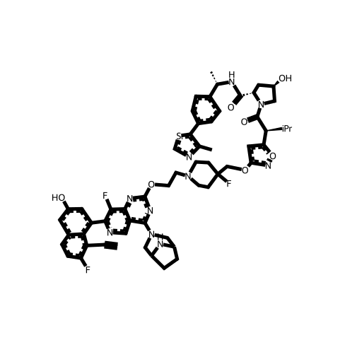 C#Cc1c(F)ccc2cc(O)cc(-c3ncc4c(N5CC6CCC(C5)N6)nc(OCCN5CCC(F)(COc6cc([C@@H](C(=O)N7C[C@H](O)C[C@H]7C(=O)N[C@@H](C)c7ccc(-c8scnc8C)cc7)C(C)C)on6)CC5)nc4c3F)c12